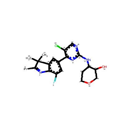 CC(C)C1=Nc2c(F)cc(-c3nc(NC4CCOCC4O)ncc3Cl)cc2C1(C)C